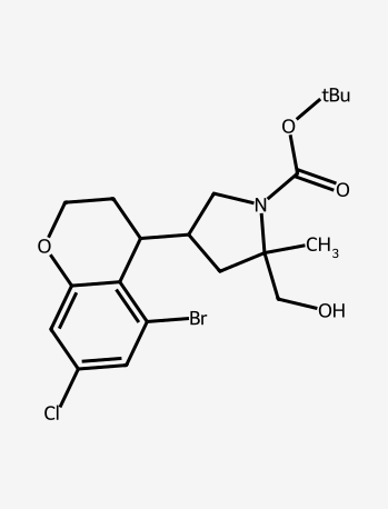 CC(C)(C)OC(=O)N1CC(C2CCOc3cc(Cl)cc(Br)c32)CC1(C)CO